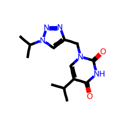 CC(C)c1cn(Cc2cn(C(C)C)nn2)c(=O)[nH]c1=O